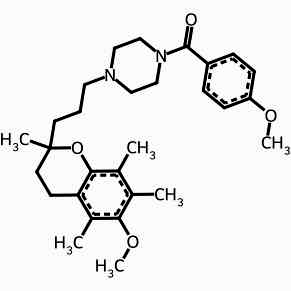 COc1ccc(C(=O)N2CCN(CCCC3(C)CCc4c(C)c(OC)c(C)c(C)c4O3)CC2)cc1